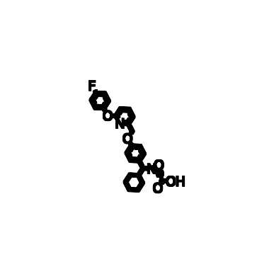 O=C(O)[C@@H]1ON1C(c1ccc(OCc2cccc(Oc3ccc(F)cc3)n2)cc1)C1CCCCC1